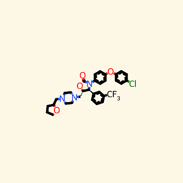 O=C1O[C@@H](CN2CCN(CC3CCCO3)CC2)[C@H](c2cccc(C(F)(F)F)c2)N1c1ccc(Oc2ccc(Cl)cc2)cc1